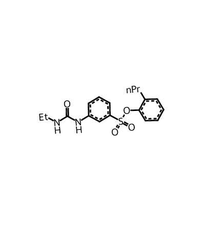 CCCc1ccccc1OS(=O)(=O)c1cccc(NC(=O)NCC)c1